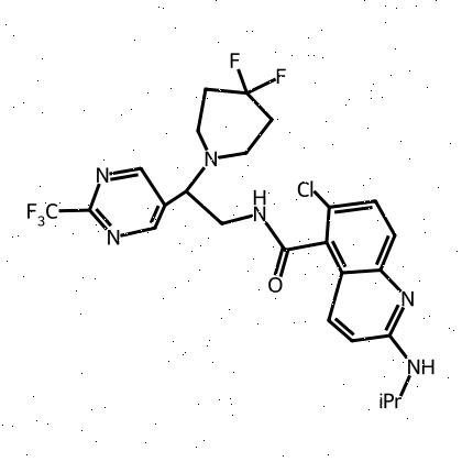 CC(C)Nc1ccc2c(C(=O)NCC(c3cnc(C(F)(F)F)nc3)N3CCC(F)(F)CC3)c(Cl)ccc2n1